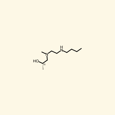 CCCCNCCN(C)C[C@H](C)O